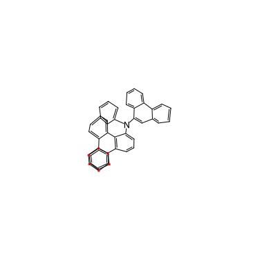 c1ccc(-c2ccccc2-c2c(-c3ccccc3)cccc2N(c2ccccc2)c2cc3ccccc3c3ccccc23)cc1